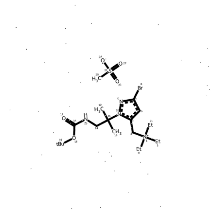 CC[N+](CC)(CC)Cc1cc(Br)nn1C(C)(C)CNC(=O)OC(C)(C)C.CS(=O)(=O)[O-]